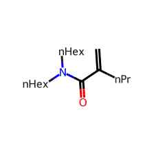 C=C(CCC)C(=O)N(CCCCCC)CCCCCC